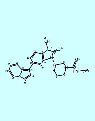 CC(C)NC(=O)N1CCC[C@H](n2c(=O)n(C)c3ccc(-c4cnn5ccccc45)nc32)C1